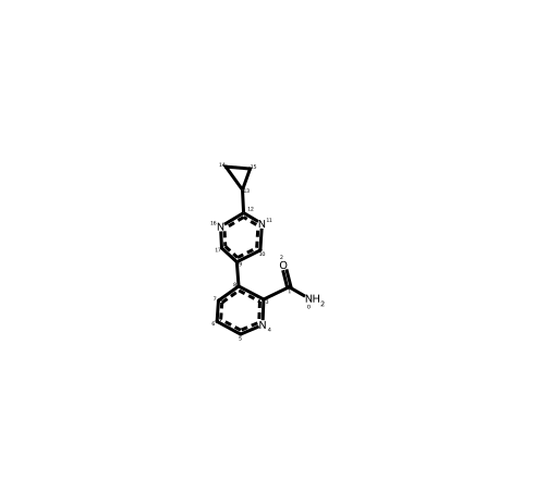 NC(=O)c1ncccc1-c1cnc(C2CC2)nc1